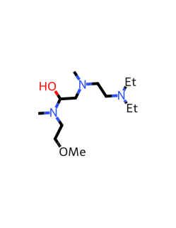 CCN(CC)CCN(C)CC(O)N(C)CCOC